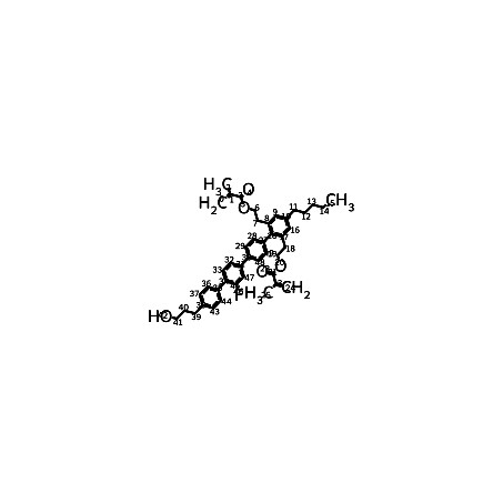 C=C(C)C(=O)OCCc1cc(CCCCC)cc(CCOC(=O)C(=C)C)c1-c1ccc(-c2ccc(-c3ccc(CCCO)cc3)c(F)c2)cc1